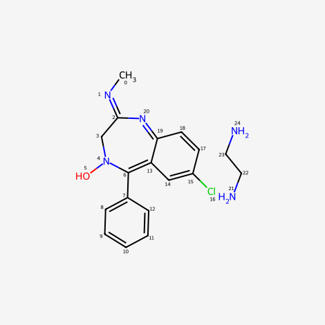 C/N=C1/CN(O)C(c2ccccc2)=c2cc(Cl)ccc2=N1.NCCN